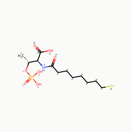 C[C@@H](OP(=O)(O)O)[C@H](NC(=O)CCCCCCCS)C(=O)O